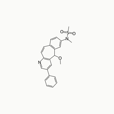 COC1c2cc(N(C)S(C)(=O)=O)ccc2C=Cc2ncc(-c3ccccc3)cc21